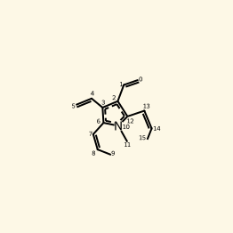 C=Cc1c(C=C)c(/C=C\C)n(C)c1/C=C\C